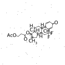 CC(=O)OCCC(=O)O[C@@H]1[C@H](C)C[C@H]2[C@@H]3CC(F)(F)C4=CC(=O)C=C[C@]4(C)[C@H]3CC[C@]12C